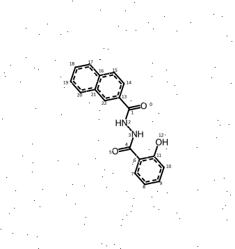 O=C(NNC(=O)c1ccccc1O)c1ccc2ccccc2c1